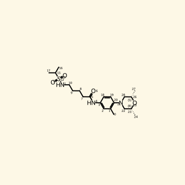 Cc1cc(NC(=O)CCCCNS(=O)(=O)C(C)C)ccc1N1C[C@@H](C)O[C@@H](C)C1